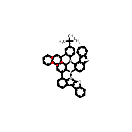 CC(C)(C)c1ccc(N2c3cc(-c4ccccc4)cc4c3B(c3ccc5sc6ccccc6c5c32)n2c3oc5ccccc5c3c3cccc-4c32)c(-c2ccccc2)c1